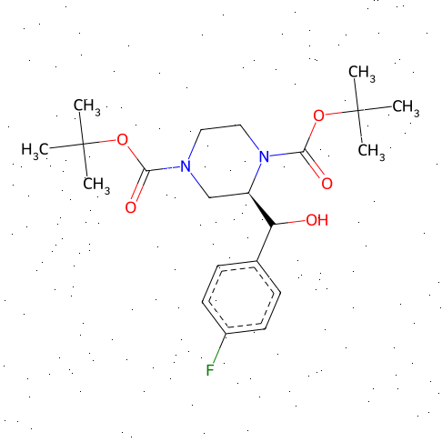 CC(C)(C)OC(=O)N1CCN(C(=O)OC(C)(C)C)[C@@H](C(O)c2ccc(F)cc2)C1